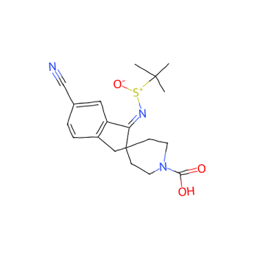 CC(C)(C)[S+]([O-])/N=C1\c2cc(C#N)ccc2CC12CCN(C(=O)O)CC2